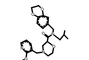 COc1ncccc1CN1CCOC(C(=O)N(Cc2ccc3c(c2)OCCO3)CC(C)C)C1